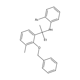 CCC(C)(Pc1ccccc1C(C)=O)c1cccc(C)c1OCc1ccccc1